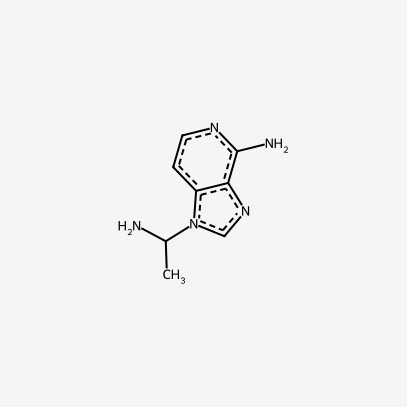 CC(N)n1cnc2c(N)nccc21